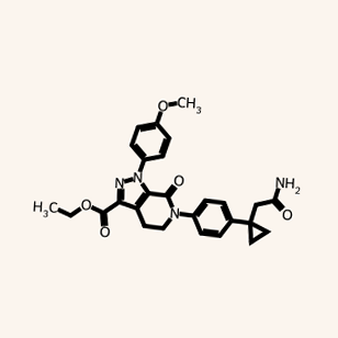 CCOC(=O)c1nn(-c2ccc(OC)cc2)c2c1CCN(c1ccc(C3(CC(N)=O)CC3)cc1)C2=O